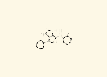 Cc1ccccc1Nc1ncc(-c2ccccc2)c2c(N)n[nH]c12